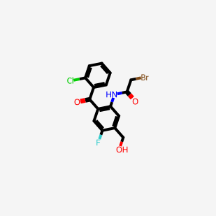 O=C(CBr)Nc1cc(CO)c(F)cc1C(=O)c1ccccc1Cl